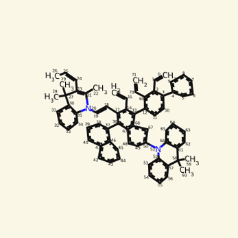 C=Cc1c(-c2ccccc2)ccc(-c2c(C=C)c(/C=C/N3C(C)=C(/C=C\C)C(C)(C)c4ccccc43)c(-c3cccc4ccccc34)c3ccc(N4c5ccccc5C(C)(C)c5ccccc54)cc23)c1C=C